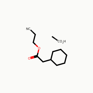 CC(=O)O.N#CCCOC(=O)CC1CCCCC1